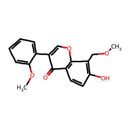 COCc1c(O)ccc2c(=O)c(-c3ccccc3OC)coc12